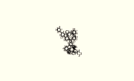 CC1(C)c2cc(-c3ccccc3)ccc2-c2ccc(N(c3cccc(-c4ccccc4)c3)c3ccc4c(c3)-c3ccccc3C43c4ccccc4C(C)(C)c4ccccc43)cc21